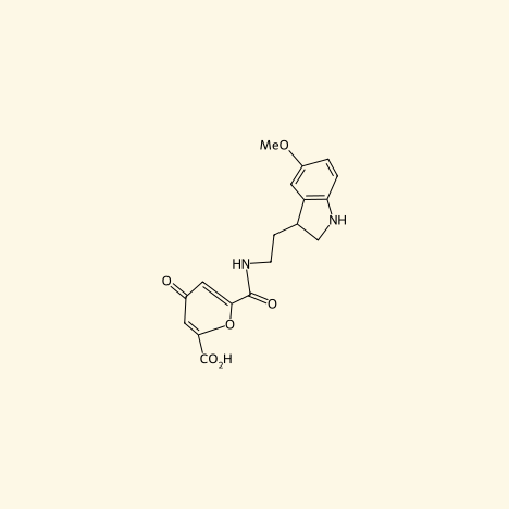 COc1ccc2c(c1)C(CCNC(=O)c1cc(=O)cc(C(=O)O)o1)CN2